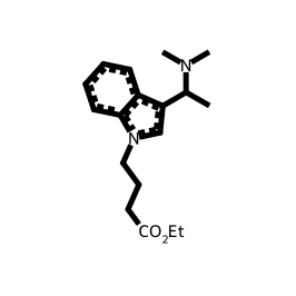 CCOC(=O)CCCn1cc(C(C)N(C)C)c2ccccc21